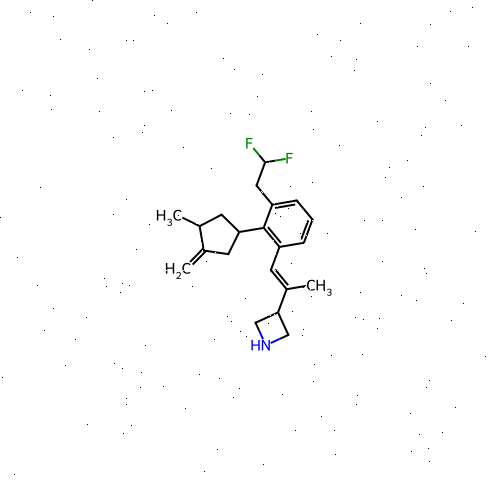 C=C1CC(c2c(/C=C(\C)C3CNC3)cccc2CC(F)F)CC1C